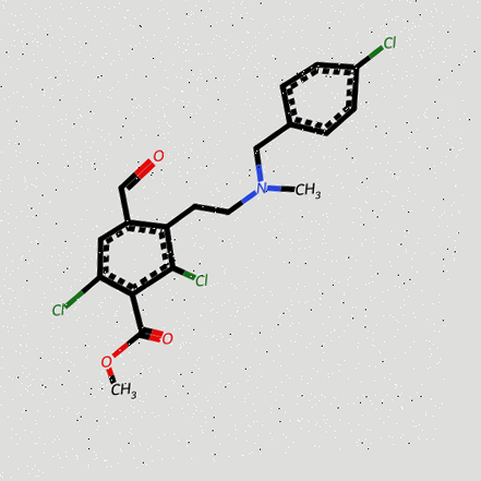 COC(=O)c1c(Cl)cc(C=O)c(CCN(C)Cc2ccc(Cl)cc2)c1Cl